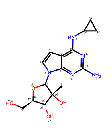 C[C@]1(O)C(n2ccc3c(NC4CC4)nc(N)nc32)O[C@H](CO)[C@H]1O